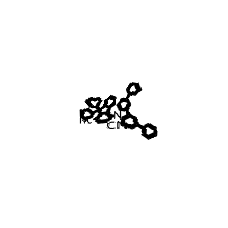 N#Cc1cc(C#N)c2c(c1-n1c3ccc(-c4ccccc4)cc3c3cc(-c4ccccc4)ccc31)-c1ccccc1C2(c1ccccc1)c1ccccc1